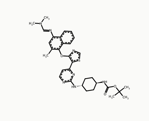 Cc1cc(N=CN(C)C)c2ccccc2c1Oc1ncsc1-c1ccnc(N[C@H]2CC[C@H](NC(=O)OC(C)(C)C)CC2)n1